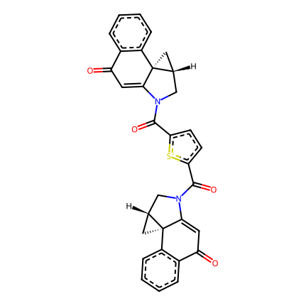 O=C1C=C2N(C(=O)c3ccc(C(=O)N4C[C@H]5C[C@@]56C4=CC(=O)c4ccccc46)s3)C[C@H]3C[C@@]23c2ccccc21